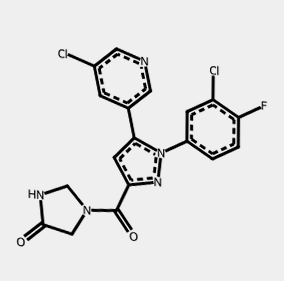 O=C1CN(C(=O)c2cc(-c3cncc(Cl)c3)n(-c3ccc(F)c(Cl)c3)n2)CN1